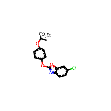 CCOC(=O)C(C)Oc1ccc(Oc2nc3ccc(Cl)cc3o2)cc1